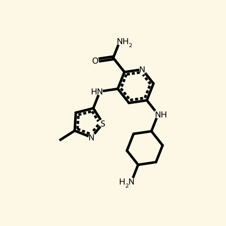 Cc1cc(Nc2cc(NC3CCC(N)CC3)cnc2C(N)=O)sn1